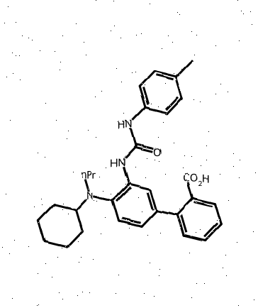 CCCN(c1ccc(-c2ccccc2C(=O)O)cc1NC(=O)Nc1ccc(C)cc1)C1CCCCC1